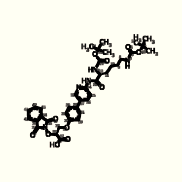 CC(C)(C)OC(=O)NCCCC[C@H](NC(=O)OC(C)(C)C)C(=O)Nc1ccc(-c2ccc(OC[C@H](ON3C(=O)c4ccccc4C3=O)C(=O)O)cc2)cn1